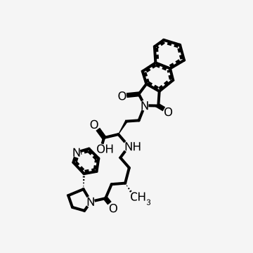 C[C@@H](CCN[C@H](CCN1C(=O)c2cc3ccccc3cc2C1=O)C(=O)O)CC(=O)N1CCC[C@@H]1c1cccnc1